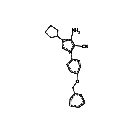 N#Cc1c(N)c(C2CCCC2)cn1-c1ccc(OCc2ccccc2)cc1